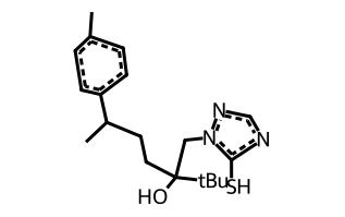 Cc1ccc(C(C)CCC(O)(Cn2ncnc2S)C(C)(C)C)cc1